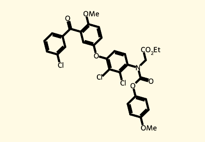 CCOC(=O)CN(C(=O)Oc1ccc(OC)cc1)c1ccc(Oc2ccc(OC)c(C(=O)c3cccc(Cl)c3)c2)c(Cl)c1Cl